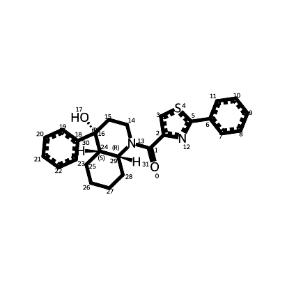 O=C(c1csc(-c2ccccc2)n1)N1CC[C@](O)(c2ccccc2)[C@H]2CCCC[C@H]21